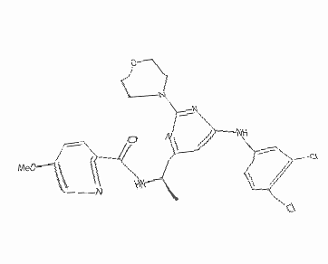 COc1ccc(C(=O)N[C@H](C)c2cc(Nc3ccc(Cl)c(Cl)c3)nc(N3CCOCC3)n2)nc1